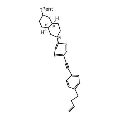 C=CCCc1ccc(C#Cc2ccc([C@@H]3CC[C@@H]4CC(CCCCC)CC[C@@H]4C3)cc2)cc1